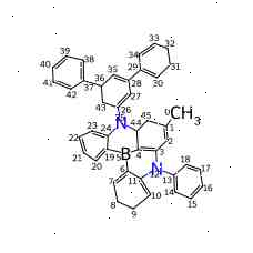 CC1=CC2=C3B(C4=CCCC=C4N2c2ccccc2)c2ccccc2N(C2=CC(C4=CCCC=C4)=CC(c4ccccc4)C2)C3C1